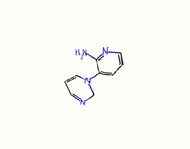 Nc1ncccc1N1C=CC=NC1